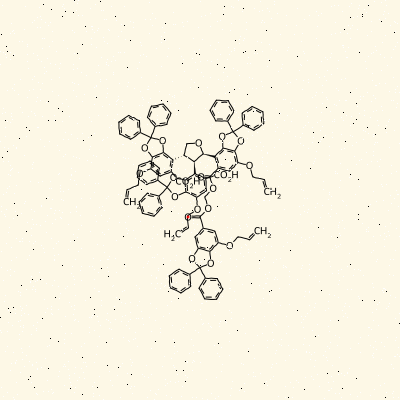 C=CCOc1cc(C(=O)OCOC(=O)c2cc(OCC=C)c3c(c2[C@@H]2OC[C@@H](c4c(C(=O)O)cc(OCC=C)c5c4OC(c4ccccc4)(c4ccccc4)O5)[C@@H]2c2c(C(=O)O)cc(OCC=C)c4c2OC(c2ccccc2)(c2ccccc2)O4)OC(c2ccccc2)(c2ccccc2)O3)cc2c1OC(c1ccccc1)(c1ccccc1)O2